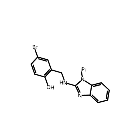 CC(C)n1c(NCc2cc(Br)ccc2O)nc2ccccc21